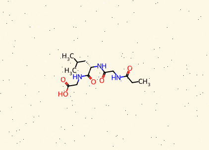 CCC(=O)NCC(=O)N[C@@H](CC(C)C)C(=O)NCC(=O)O